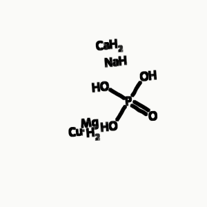 O=P(O)(O)O.[CaH2].[Cu].[MgH2].[NaH]